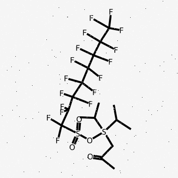 CC(=O)CS(OS(=O)(=O)C(F)(F)C(F)(F)C(F)(F)C(F)(F)C(F)(F)C(F)(F)C(F)(F)C(F)(F)F)(C(C)C)C(C)C